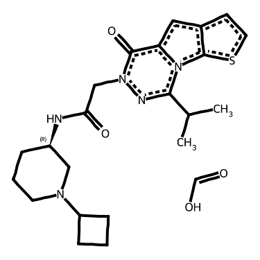 CC(C)c1nn(CC(=O)N[C@@H]2CCCN(C3CCC3)C2)c(=O)c2cc3ccsc3n12.O=CO